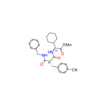 COC(=O)[C@@H](NC(=O)[C@H](Cc1ccc(C#N)cc1)C(=O)NCc1ccccc1)C1CCCCC1